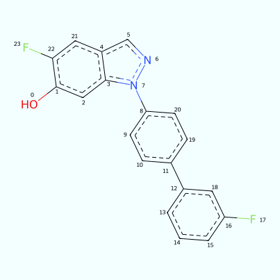 Oc1cc2c(cnn2-c2ccc(-c3cccc(F)c3)cc2)cc1F